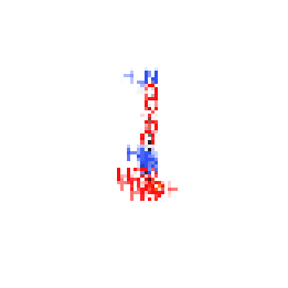 NCCCOCCOCCOCCOCCOCCCNc1ncnc2c1ncn2C1OC(COP(O)O)C(O)C1O